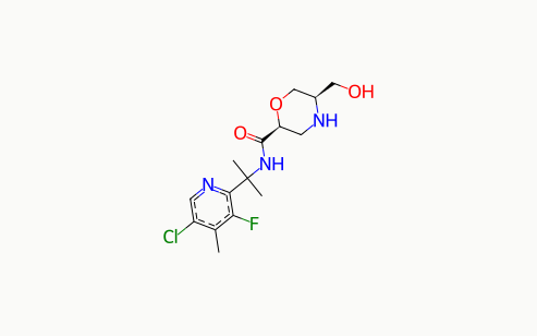 Cc1c(Cl)cnc(C(C)(C)NC(=O)[C@@H]2CN[C@H](CO)CO2)c1F